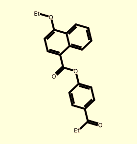 CCOc1ccc(C(=O)Oc2ccc(C(=O)CC)cc2)c2ccccc12